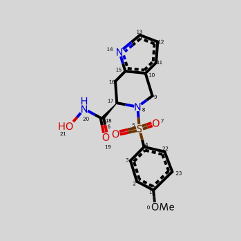 COc1ccc(S(=O)(=O)N2Cc3cccnc3C[C@@H]2C(=O)NO)cc1